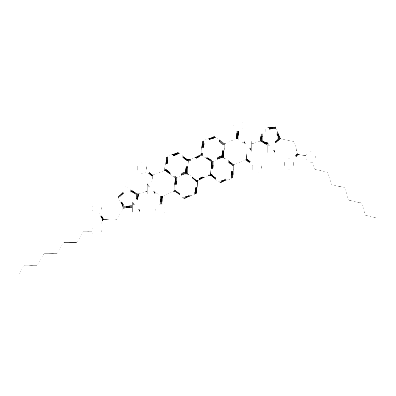 CCCCCCCCOC(=O)Cc1csc(N2C(=O)c3ccc4c5ccc6c7c(ccc(c8ccc(c3c48)C2=O)c75)C(=O)N(c2nc(CC(=O)OCCCCCCCC)cs2)C6=O)n1